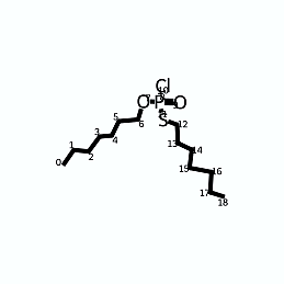 CCCCCCCOP(=O)(Cl)SCCCCCCC